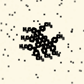 Cc1ccc(N(c2ccc(C)cc2)c2cc3c4c(c2)n2c5ccc(C)cc5oc5c(N(c6ccc(C)cc6)c6ccc(C)cc6)cc6oc7cc(N(c8ccc(C)cc8)c8ccc(C)cc8)c8oc9cc(C)ccc9n3c8c7p4c6c52)cc1